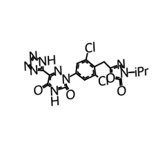 CC(C)n1nc(Cc2c(Cl)cc(-n3nc(-c4nnn[nH]4)c(=O)[nH]c3=O)cc2Cl)oc1=O